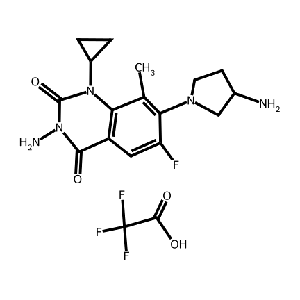 Cc1c(N2CCC(N)C2)c(F)cc2c(=O)n(N)c(=O)n(C3CC3)c12.O=C(O)C(F)(F)F